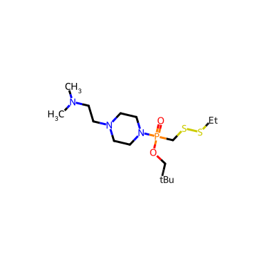 CCSSCP(=O)(OCC(C)(C)C)N1CCN(CCN(C)C)CC1